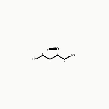 C=O.CCCCCCCCS